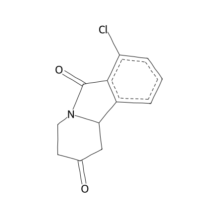 O=C1CCN2C(=O)c3c(Cl)cccc3C2C1